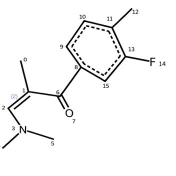 C/C(=C/N(C)C)C(=O)c1ccc(C)c(F)c1